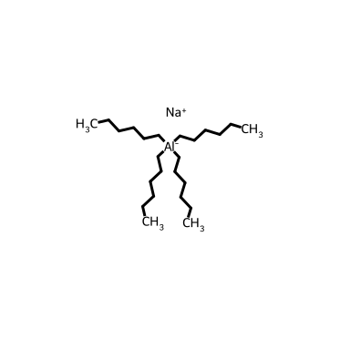 CCCCC[CH2][Al-]([CH2]CCCCC)([CH2]CCCCC)[CH2]CCCCC.[Na+]